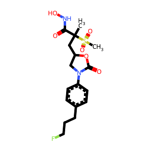 CC(CC1CN(c2ccc(CCCF)cc2)C(=O)O1)(C(=O)NO)S(C)(=O)=O